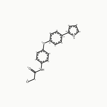 O=C(CCl)Nc1ccc(Oc2ccc(-c3ccco3)cc2)cc1